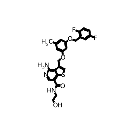 Cc1cc(OCc2cc(F)ccc2F)cc(OCc2csc3c(C(=O)NCCO)cnc(N)c23)c1